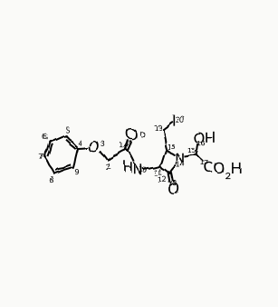 O=C(COc1ccccc1)NC1C(=O)N(C(O)C(=O)O)C1CI